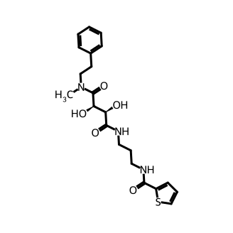 CN(CCc1ccccc1)C(=O)[C@H](O)[C@@H](O)C(=O)NCCCNC(=O)c1cccs1